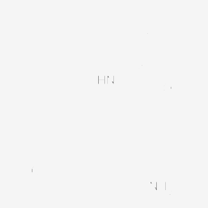 C=C(C)C(=O)Nc1cc(N)cc(Cl)c1